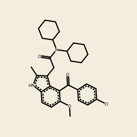 COc1ccc2[nH]c(C)c(CC(=O)N(C3CCCCC3)C3CCCCC3)c2c1C(=O)c1ccc(Cl)cc1